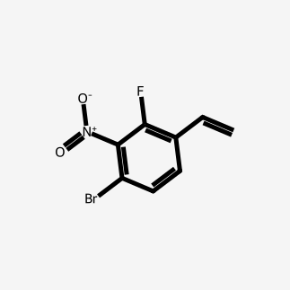 C=Cc1ccc(Br)c([N+](=O)[O-])c1F